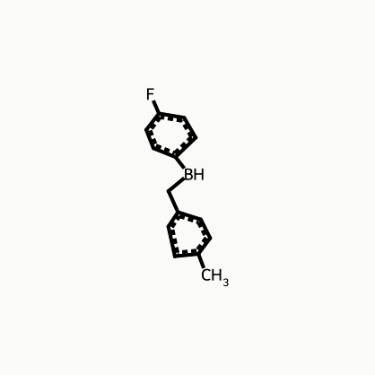 Cc1ccc(CBc2ccc(F)cc2)cc1